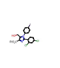 CCOC(=O)c1nc(-c2ccc(Cl)cc2Cl)n(-c2ccc(I)cc2)c1CO